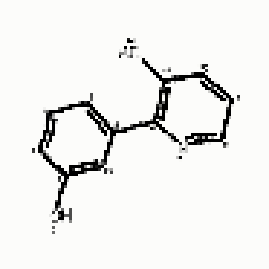 Oc1cccc(-c2ncc[c]c2O)c1